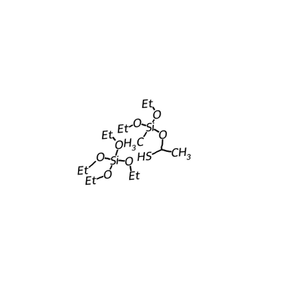 CCO[Si](C)(OCC)OC(C)S.CCO[Si](OCC)(OCC)OCC